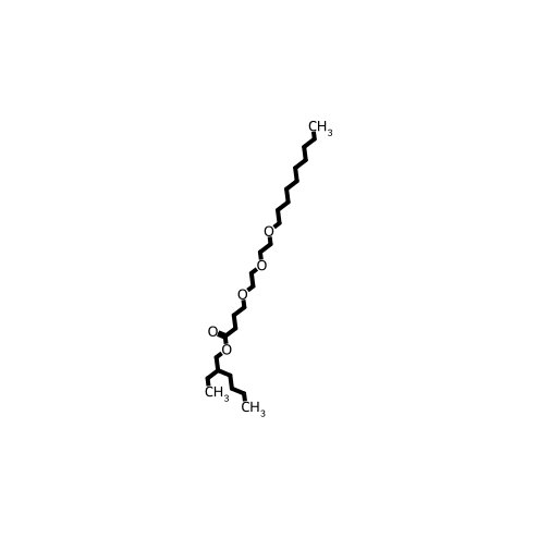 CCCCCCCCCCOCCOCCOCCCC(=O)OCC(CC)CCCC